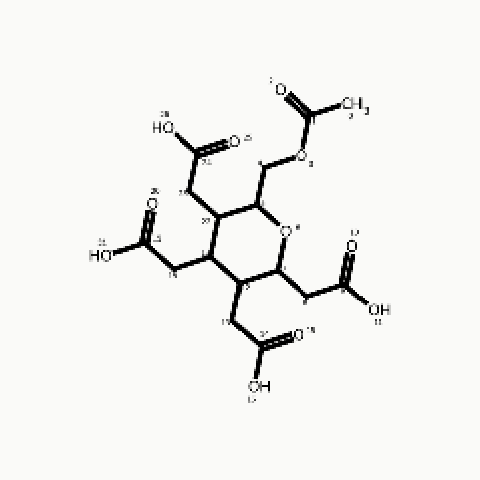 CC(=O)OCC1OC(CC(=O)O)C(CC(=O)O)C(CC(=O)O)C1CC(=O)O